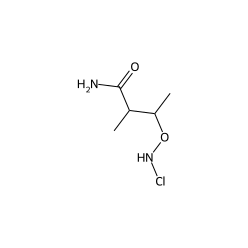 CC(ONCl)C(C)C(N)=O